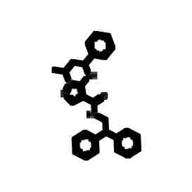 CC1CC(c2ccccc2)Nc2c(C(=O)NCC(c3ccccc3)c3ccccc3)cnn21